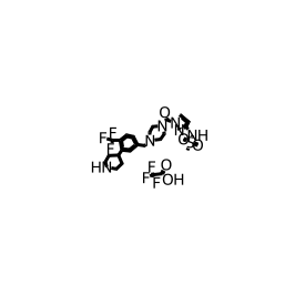 CS(=O)(=O)Nc1ccn(C(=O)N2CCN(Cc3ccc(C(F)(F)F)c(C4CCNCC4)c3)CC2)n1.O=C(O)C(F)(F)F